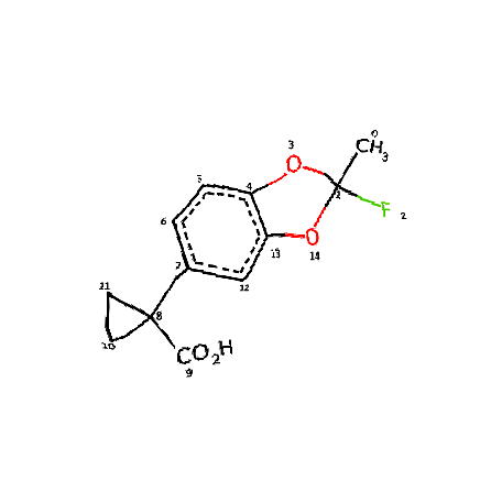 CC1(F)Oc2ccc(C3(C(=O)O)CC3)cc2O1